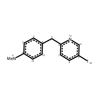 CNc1ccc(Cc2ccc(I)cn2)cc1